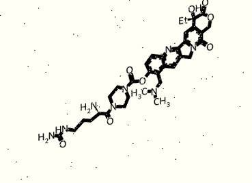 CC[C@@]1(O)C(=O)OCc2c1cc1n(c2=O)Cc2cc3c(CN(C)C)c(OC(=O)N4CCN(C(=O)[C@@H](N)CCCNC(N)=O)CC4)ccc3nc2-1